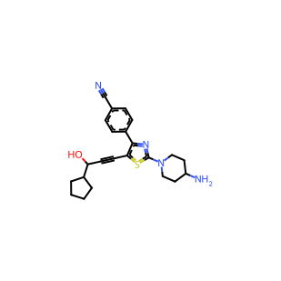 N#Cc1ccc(-c2nc(N3CCC(N)CC3)sc2C#CC(O)C2CCCC2)cc1